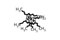 C=CC=[CH][Mn][C](n1nc(CCCC)cc1CCCC)(n1nc(CCCC)cc1CCCC)n1nc(CCCC)cc1CCCC